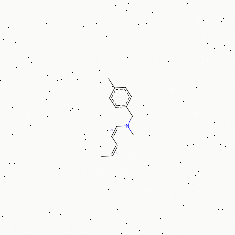 C/C=C\C=C/N(C)Cc1ccc(C)cc1